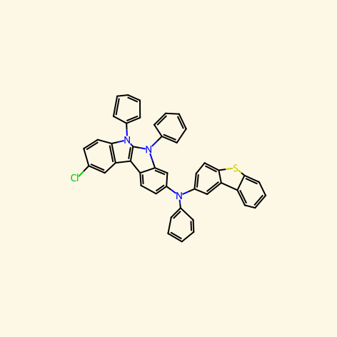 Clc1ccc2c(c1)c1c3ccc(N(c4ccccc4)c4ccc5sc6ccccc6c5c4)cc3n(-c3ccccc3)c1n2-c1ccccc1